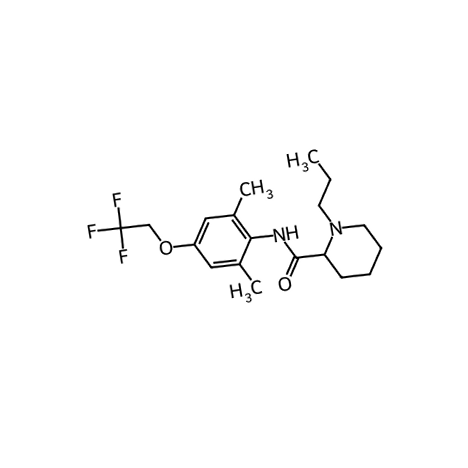 CCCN1CCCCC1C(=O)Nc1c(C)cc(OCC(F)(F)F)cc1C